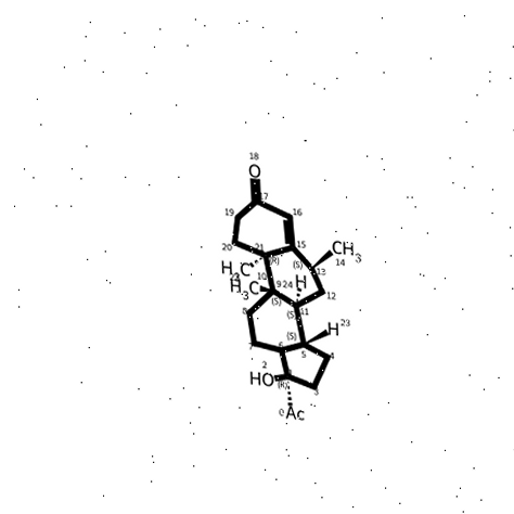 CC(=O)[C@@]1(O)CC[C@@H]2C1CC[C@@]1(C)[C@H]2C[C@H](C)C2=CC(=O)CC[C@@]21C